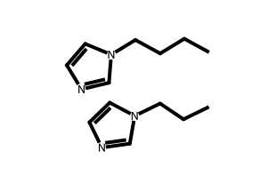 CCCCn1ccnc1.CCCn1ccnc1